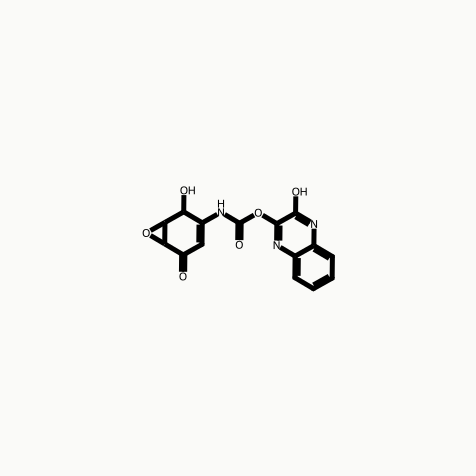 O=C(NC1=CC(=O)C2OC2C1O)Oc1nc2ccccc2nc1O